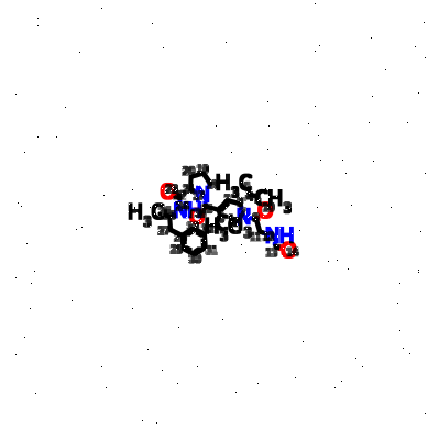 C/C(=C\[C@H](C(C)C)N(C)C(=O)CNC=O)C(=O)N1CCC[C@H]1C(=O)NC(C)Cc1ccccc1